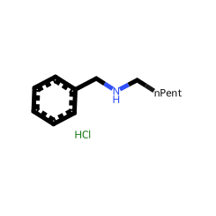 CCCCCCNCc1ccccc1.Cl